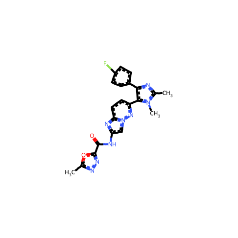 Cc1nnc(C(=O)Nc2cn3nc(-c4c(-c5ccc(F)cc5)nc(C)n4C)ccc3n2)o1